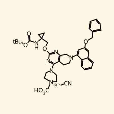 CC(C)(C)OC(=O)NC1(COc2nc3c(c(N4CCN(C(=O)O)[C@@H](CC#N)C4)n2)CCN(c2cc(OCc4ccccc4)cc4ccccc24)C3)CC1